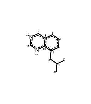 CC(C)Cc1cccc2cncnc12